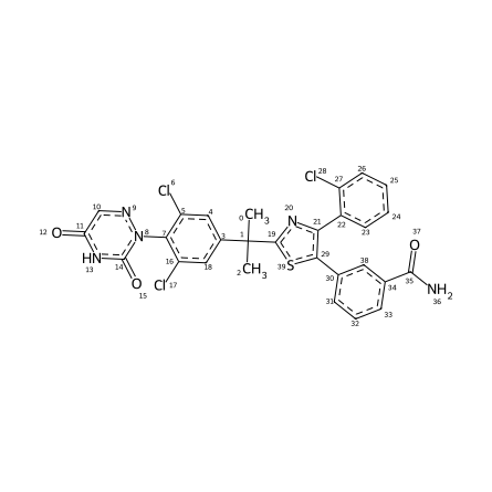 CC(C)(c1cc(Cl)c(-n2ncc(=O)[nH]c2=O)c(Cl)c1)c1nc(-c2ccccc2Cl)c(-c2cccc(C(N)=O)c2)s1